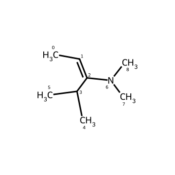 C/C=C(\C(C)C)N(C)C